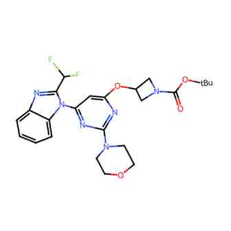 CC(C)(C)OC(=O)N1CC(Oc2cc(-n3c(C(F)F)nc4ccccc43)nc(N3CCOCC3)n2)C1